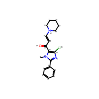 Cn1c(-c2ccccc2)nc(Cl)c1C(=O)C=CN1CCCCC1